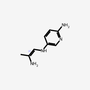 C/C(N)=C/Nc1ccc(N)nc1